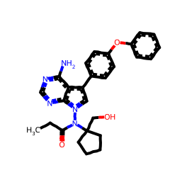 CCC(=O)N(n1cc(-c2ccc(Oc3ccccc3)cc2)c2c(N)ncnc21)C1(CO)CCCC1